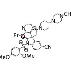 CCOc1ncccc1C1(CC(=O)N2CCC(N3CCN(C)CC3)CC2)C(=O)N(S(=O)(=O)c2ccc(OC)cc2OC)c2ccc(C#N)cc21